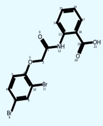 O=C(COc1ccc(Br)cc1Br)Nc1ccccc1C(=O)O